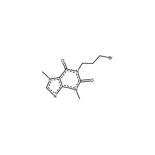 Cn1cnc2c1c(=O)n(CCCBr)c(=O)n2C